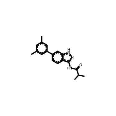 Cc1cc(C)cc(-c2ccc3c(NC(=O)C(C)C)n[nH]c3c2)c1